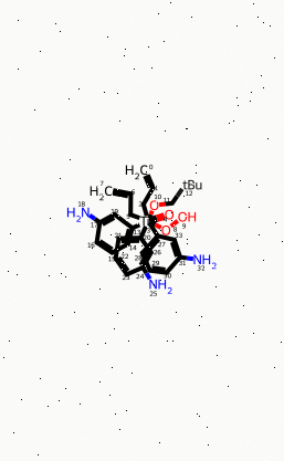 C=C[CH2][Ti](=[O])([CH2]C=C)([O]O)([O]CC(C)(C)C)([c]1cccc(N)c1)([c]1cccc(N)c1)[c]1cccc(N)c1